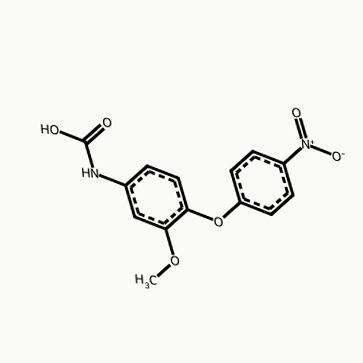 COc1cc(NC(=O)O)ccc1Oc1ccc([N+](=O)[O-])cc1